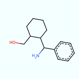 NC(c1ccccc1)C1CCCCC1CO